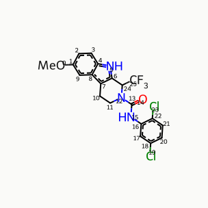 COc1ccc2[nH]c3c(c2c1)CCN(C(=O)Nc1cc(Cl)ccc1Cl)C3C(F)(F)F